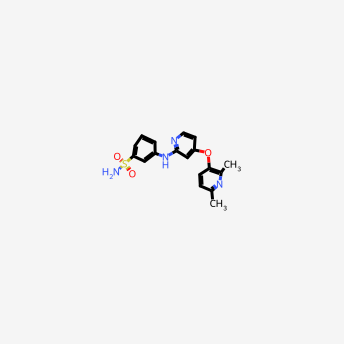 Cc1ccc(Oc2ccnc(Nc3cccc(S(N)(=O)=O)c3)c2)c(C)n1